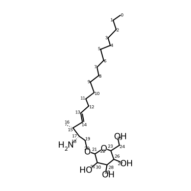 CCCCCCCCCCCCC/C=C/[C@@H](C)[C@@H](N)COC1OC(CO)C(O)C(O)C1O